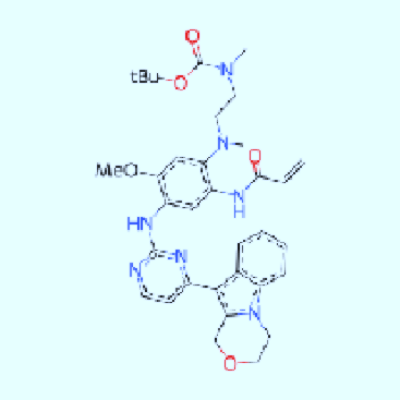 C=CC(=O)Nc1cc(Nc2nccc(-c3c4n(c5ccccc35)CCOC4)n2)c(OC)cc1N(C)CCN(C)C(=O)OC(C)(C)C